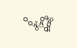 CC(C)(Oc1cccc(N2CC(C(=O)N(Cc3ccc(-c4ccccc4)cc3)C3CC3)CC(c3ccccc3)C2)c1)C(=O)N1CCNCC1